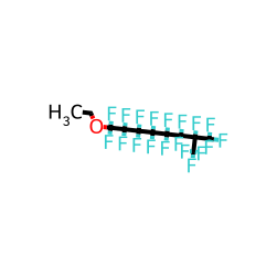 CCOC(F)(F)C(F)(F)C(F)(F)C(F)(F)C(F)(F)C(F)(F)C(F)(C(F)(F)F)C(F)(F)F